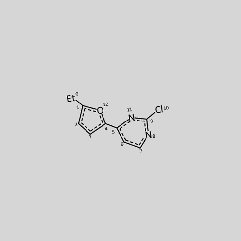 CCc1ccc(-c2ccnc(Cl)n2)o1